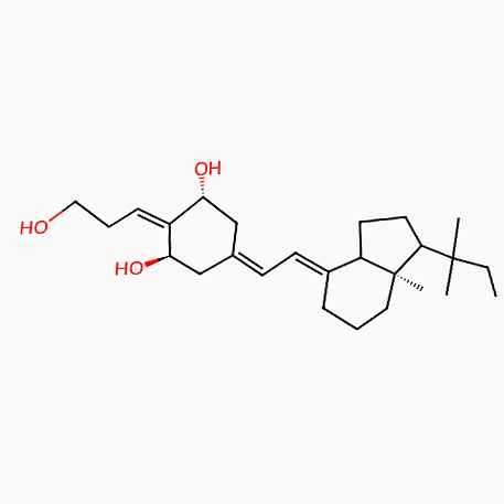 CCC(C)(C)C1CCC2/C(=C/C=C3C[C@@H](O)C(=CCCO)[C@H](O)C3)CCC[C@@]21C